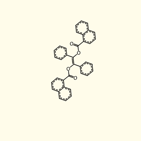 O=C(O/C(=C(/OC(=O)c1cccc2ccccc12)c1ccccc1)c1ccccc1)c1cccc2ccccc12